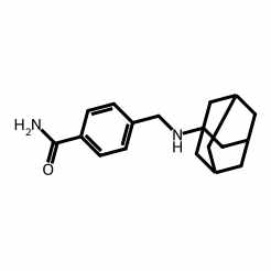 NC(=O)c1ccc(CNC23CC4CC(CC(C4)C2)C3)cc1